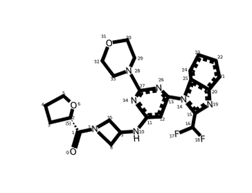 O=C([C@@H]1CCCO1)N1CC(Nc2cc(-n3c(C(F)F)nc4ccccc43)nc(N3CCOCC3)n2)C1